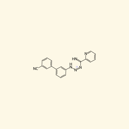 N#Cc1cccc(-c2cccc(N/N=N\C(=N)c3ccccn3)c2)c1